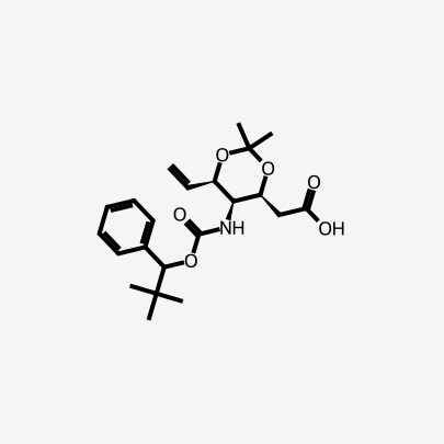 C=C[C@H]1OC(C)(C)O[C@@H](CC(=O)O)[C@H]1NC(=O)OC(c1ccccc1)C(C)(C)C